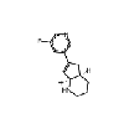 Fc1cncc(C2=C[C@@H]3NCCC[C@@H]3C2)c1